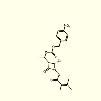 CC(C)=C(C)C(=O)ON1C(=O)[C@H]([C@H](C)OC(=O)OCc2ccc([N+](=O)[O-])cc2)[C@@H]1Cl